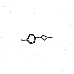 CN1C[C](c2ccc(F)cc2)C1